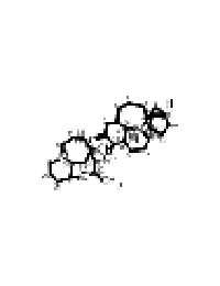 C=C1CC2CCCC3(C[C@H]4CC[C@@H]3C4)N3CCCC(C1O[C@@H]1C(C)CC4CCCN5CCCC1(C)CC45)[C@@H]23